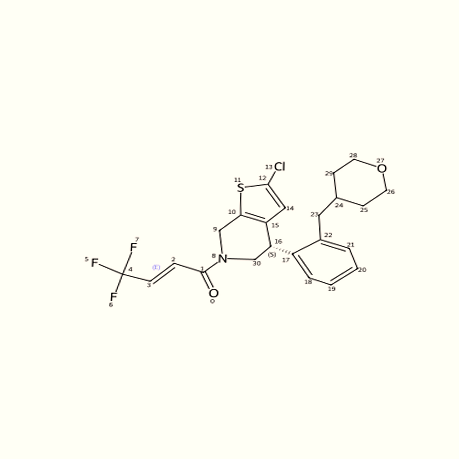 O=C(/C=C/C(F)(F)F)N1Cc2sc(Cl)cc2[C@H](c2ccccc2CC2CCOCC2)C1